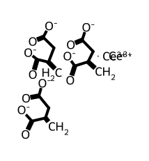 C=C(CC(=O)[O-])C(=O)[O-].C=C(CC(=O)[O-])C(=O)[O-].C=C(CC(=O)[O-])C(=O)[O-].[Ce+3].[Ce+3]